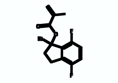 C=C(C)C(=O)OC1(CC)CCc2c(F)ccc(F)c21